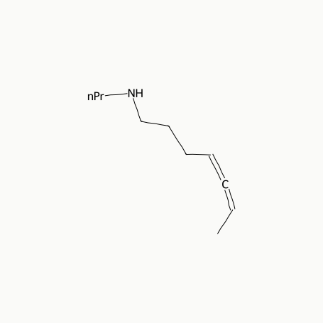 CC=C=CCCCNCCC